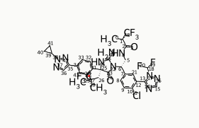 C[C@H](C(=O)NC[C@H](c1ccc(Cl)c(-c2ncnn2C(F)F)c1)N1C(=O)[C@@](CC(C)(C)C(F)(F)F)(c2ccc(-c3cnn(C4CC4)n3)cc2)NC1N)C(F)(F)F